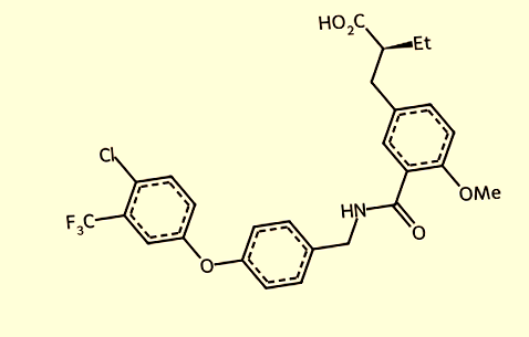 CC[C@@H](Cc1ccc(OC)c(C(=O)NCc2ccc(Oc3ccc(Cl)c(C(F)(F)F)c3)cc2)c1)C(=O)O